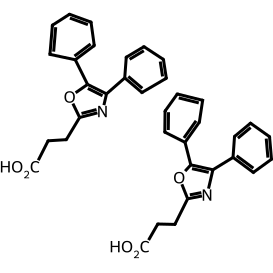 O=C(O)CCc1nc(-c2ccccc2)c(-c2ccccc2)o1.O=C(O)CCc1nc(-c2ccccc2)c(-c2ccccc2)o1